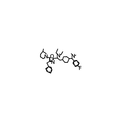 CCN(CC)C(CC1CCC(C(c2ccc(F)cc2)N(C)C)CC1)c1nc(Cc2ccccc2)c(N2CCCC(C)C2)o1